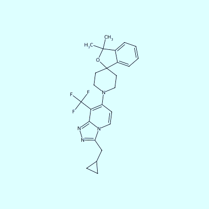 CC1(C)OC2(CCN(c3ccn4c(CC5CC5)nnc4c3C(F)(F)F)CC2)c2ccccc21